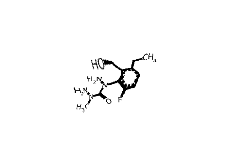 CCc1ccc(F)c(N(N)C(=O)N(C)N)c1CO